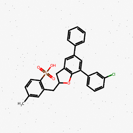 Cc1ccc(S(=O)(=O)O)c(CC2Cc3cc(-c4ccccc4)cc(-c4cccc(Cl)c4)c3O2)c1